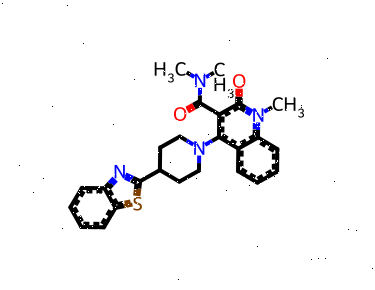 CN(C)C(=O)c1c(N2CCC(c3nc4ccccc4s3)CC2)c2ccccc2n(C)c1=O